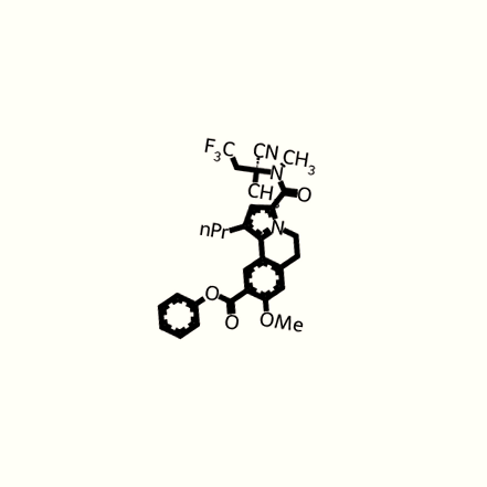 CCCc1cc(C(=O)N(C)[C@](C)(C#N)CC(F)(F)F)n2c1-c1cc(C(=O)Oc3ccccc3)c(OC)cc1CC2